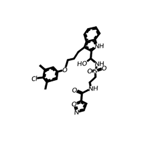 Cc1cc(OCCCc2c(C(O)NS(=O)(=O)CCNC(=O)c3ccno3)[nH]c3ccccc23)cc(C)c1Cl